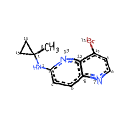 CC1(Nc2ccc3nccc(Br)c3n2)CC1